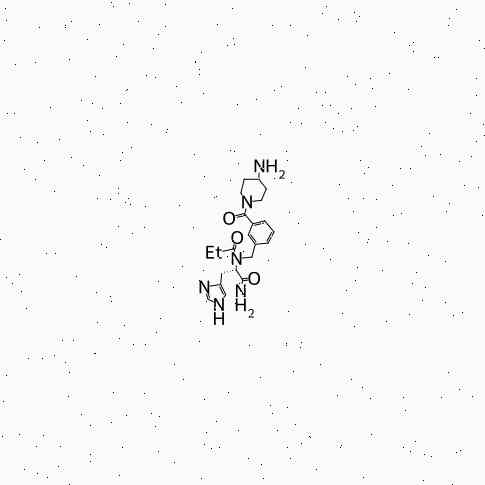 CCC(=O)N(Cc1cccc(C(=O)N2CCC(N)CC2)c1)[C@@H](Cc1c[nH]cn1)C(N)=O